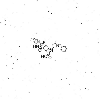 C[C@H]1C[C@H](N(C)c2cc(F)c(S(=O)(=O)Nc3cscn3)cc2Cl)CN1Cc1ccccc1.O=CO